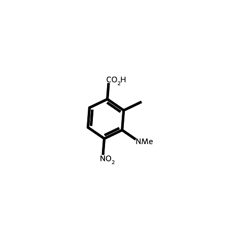 CNc1c([N+](=O)[O-])ccc(C(=O)O)c1C